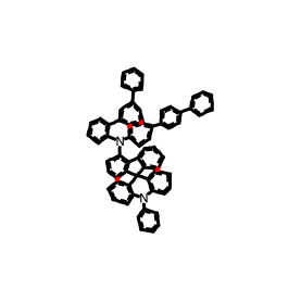 c1ccc(-c2ccc(-c3ccc(N(c4ccccc4-c4cccc(-c5ccccc5)c4)c4cccc5c4-c4ccccc4C54c5ccccc5N(c5ccccc5)c5ccccc54)cc3)cc2)cc1